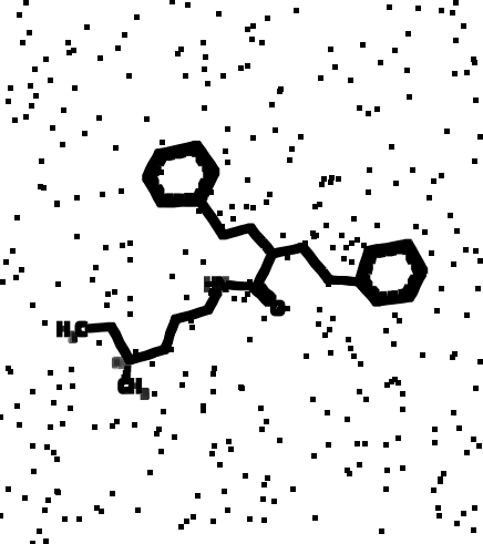 CC[C@@H](C)CCCNC(=O)C(CCc1ccccc1)CCc1ccccc1